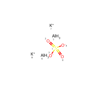 O=S(=O)([O-])[O-].[AlH3].[AlH3].[K+].[K+]